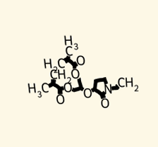 C=CN1CCC(OC(COC(=O)C(=C)C)COC(=O)C(=C)C)C1=O